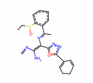 C=N/C(N)=C(\N=C(/C)c1ccccc1[S+]([O-])CC)c1nnc(C2=CCCC=C2)o1